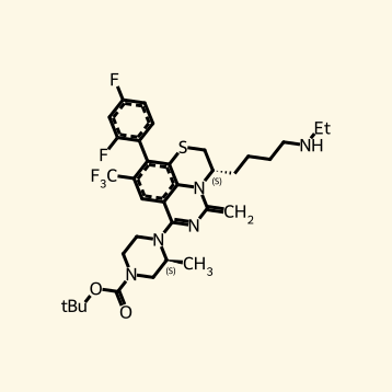 C=C1N=C(N2CCN(C(=O)OC(C)(C)C)C[C@@H]2C)c2cc(C(F)(F)F)c(-c3ccc(F)cc3F)c3c2N1[C@@H](CCCCNCC)CS3